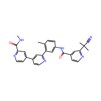 CNC(=O)c1cc(-c2ccnc(-c3cc(NC(=O)c4ccnc(C(C)(C)C#N)c4)ccc3C)c2)ccn1